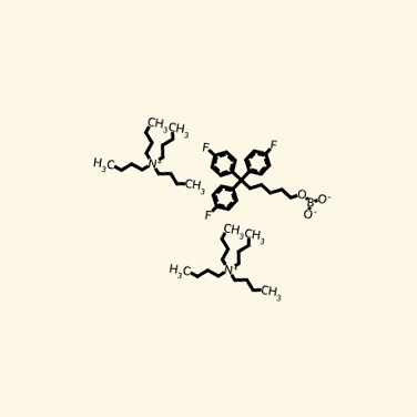 CCCC[N+](CCCC)(CCCC)CCCC.CCCC[N+](CCCC)(CCCC)CCCC.[O-]B([O-])OCCCCCC(c1ccc(F)cc1)(c1ccc(F)cc1)c1ccc(F)cc1